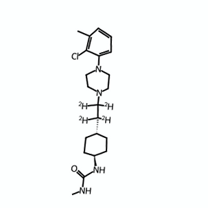 [2H]C([2H])(N1CCN(c2cccc(C)c2Cl)CC1)C([2H])([2H])[C@H]1CC[C@H](NC(=O)NC)CC1